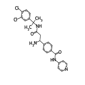 CC(C)(NC(=O)CC(N)c1ccc(C(=O)Nc2ccncc2)cc1)c1ccc(Cl)c(Cl)c1